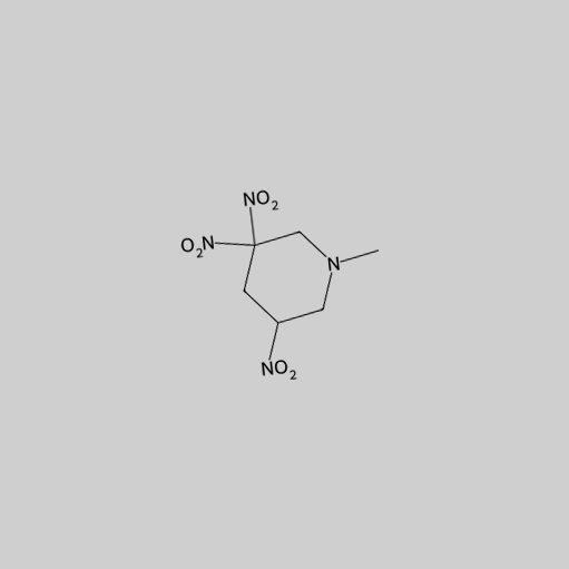 CN1CC([N+](=O)[O-])CC([N+](=O)[O-])([N+](=O)[O-])C1